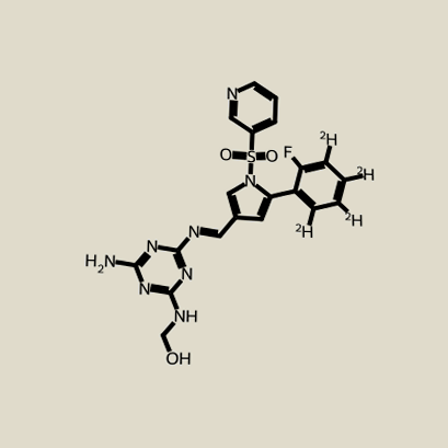 [2H]c1c([2H])c([2H])c(-c2cc(C=Nc3nc(N)nc(NCO)n3)cn2S(=O)(=O)c2cccnc2)c(F)c1[2H]